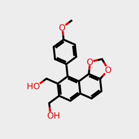 COc1ccc(-c2c(CO)c(CO)cc3ccc4c(c23)OCO4)cc1